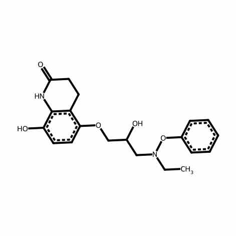 CCN(CC(O)COc1ccc(O)c2c1CCC(=O)N2)Oc1ccccc1